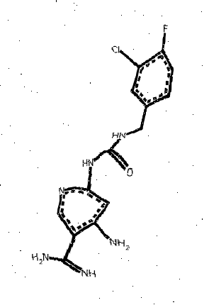 N=C(N)c1cnc(NC(=O)NCc2ccc(F)c(Cl)c2)cc1N